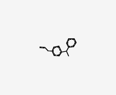 C=CCc1ccc(C(C)c2ccccc2)cc1